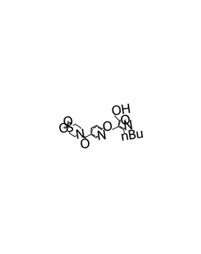 CCCCc1noc(CO)c1COc1ccc(C(=O)N2CCS(=O)(=O)CC2)cn1